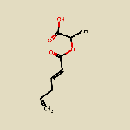 C=CCC=CC(=O)OC(C)C(=O)O